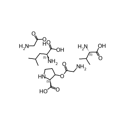 CC(C)C[C@H](N)C(=O)O.CC(C)[C@H](N)C(=O)O.NCC(=O)O.NCC(=O)OC1CCN[C@@H]1C(=O)O